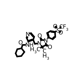 CC1(C)C(=O)N(c2ccc(S(=O)(=O)C(F)(F)F)cc2)C(=O)N1Cc1ccncc1NC(=O)C1CCCCC1